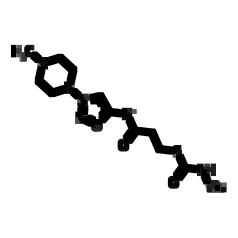 CN1CCN([n+]2cc([N-]C(=O)CCSC(=O)NC(C)(C)C)on2)CC1